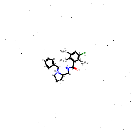 COc1cc(Br)c(OC)c(C(=O)NCC2CCCN2Cc2ccccc2)c1OC